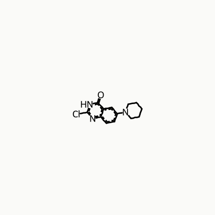 O=c1[nH]c(Cl)nc2ccc(N3CCCCC3)cc12